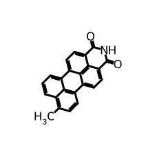 Cc1ccc2c3ccc4c5c(ccc(c6cccc1c62)c53)C(=O)NC4=O